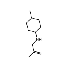 C=C(C)CNC1CCC(C)CC1